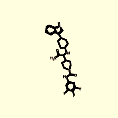 NC(=O)C(NC1CCC(c2c[nH]c3ccccc23)CC1)C1CCN(C(=O)Nc2cc(F)c(F)c(F)c2)CC1